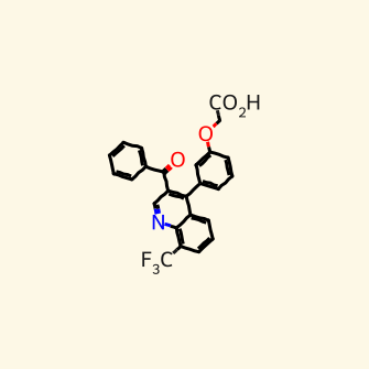 O=C(O)COc1cccc(-c2c(C(=O)c3ccccc3)cnc3c(C(F)(F)F)cccc23)c1